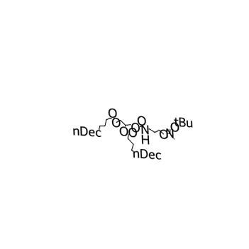 CCCCCCCCCCCCCC(=O)OCC(COC(=O)NCCCON(C)COC(C)(C)C)OC(=O)CCCCCCCCCCCCC